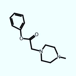 CN1CCN(CC(=O)Oc2ccccc2)CC1